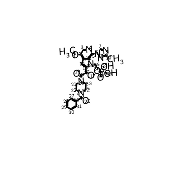 COc1cnc(-n2cnc(C)n2)c2c1cc(C(=O)C(=O)N1CCN(C(=O)c3ccccc3)CC1)n2COP(=O)(O)O